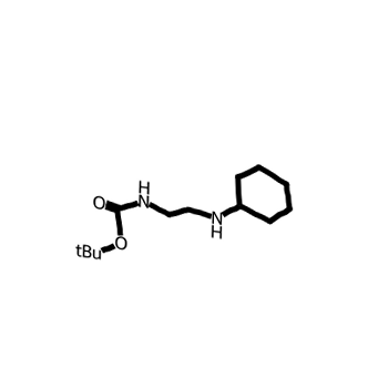 CC(C)(C)OC(=O)NCCNC1CCCCC1